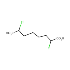 O=C(O)C(Cl)CCCCC(Cl)C(=O)O